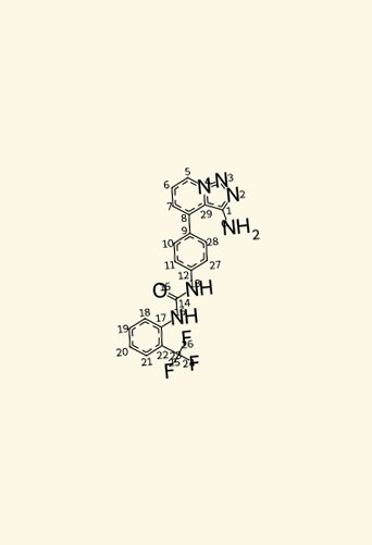 Nc1nnn2cccc(-c3ccc(NC(=O)Nc4ccccc4C(F)(F)F)cc3)c12